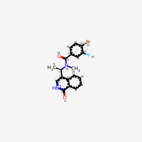 C[C@H](c1c[nH]c(=O)c2ccccc12)N(C)C(=O)c1ccc(Br)c(F)c1